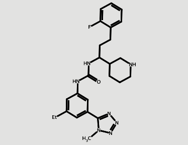 CCc1cc(NC(=O)NC(CCc2ccccc2F)C2CCCNC2)cc(-c2nnnn2C)c1